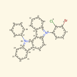 Clc1c(Br)cccc1-n1c2ccccc2c2c1ccc1c3ccccc3n(-c3ccccc3)c12